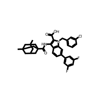 CC12CC3CC(C)(C1)CC(C(=O)Nc1c(C(=O)O)n(Cc4cccc(Cl)c4)c4cc(-c5cc(F)cc(F)c5)ccc14)(C3)C2